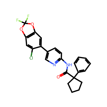 O=C(Nc1ccc(-c2cc3c(cc2Cl)OC(F)(F)O3)cn1)C1(c2ccccc2)CCCC1